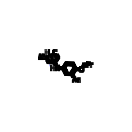 C=C/C(=C\NC)Nc1ccc(OCCC)c(C(C)=O)c1